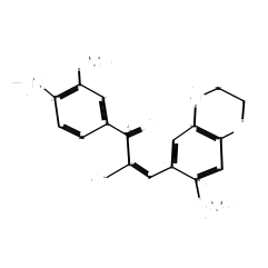 COc1cc(C(=O)/C(Cl)=C\c2cc3c(cc2OC)OCCO3)ccc1N